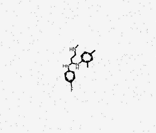 CNCCC(Nc1ccc(F)cc1)Nc1ccc(C)cc1C